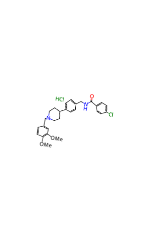 COc1ccc(CN2CCC(c3ccc(CNC(=O)c4ccc(Cl)cc4)cc3)CC2)cc1OC.Cl